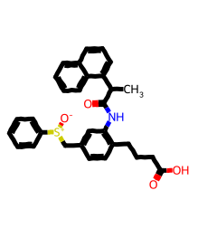 CC(C(=O)Nc1cc(C[S+]([O-])c2ccccc2)ccc1CCCC(=O)O)c1cccc2ccccc12